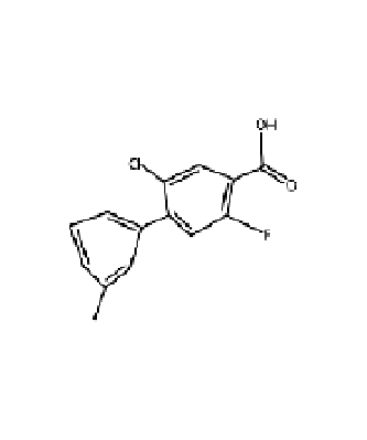 Cc1cccc(-c2cc(F)c(C(=O)O)cc2Cl)c1